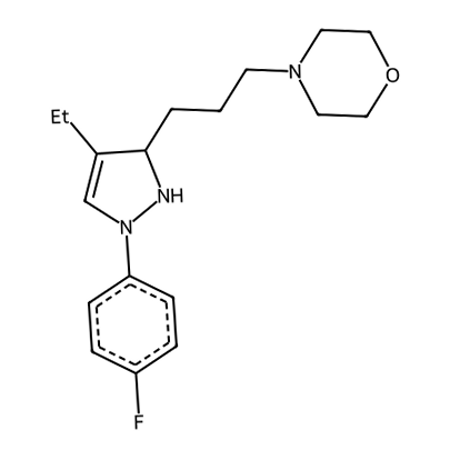 CCC1=CN(c2ccc(F)cc2)NC1CCCN1CCOCC1